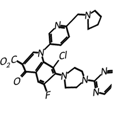 CCOC(=O)c1cn(-c2ccc(CN3CCCC3)nc2)c2c(Cl)c(N3CCN(c4ncccn4)CC3)c(F)cc2c1=O